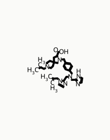 CC(C)CN1CCC2(CC1)CC(C(=O)O)N(Cc1ccc(CN(Cc3ncc[nH]3)Cc3nccn3CC(C)C)cc1)C2